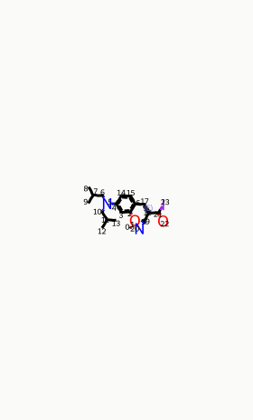 COc1cc(N(CC(C)C)CC(C)C)ccc1/C=C(\C#N)C(=O)I